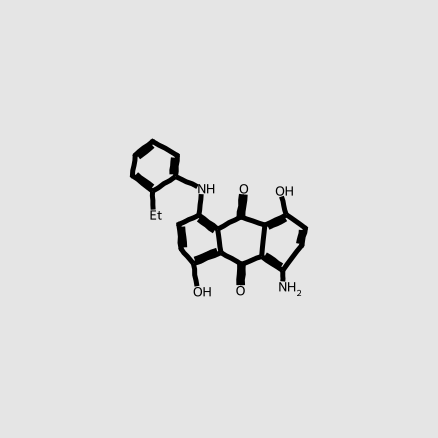 CCc1ccccc1Nc1ccc(O)c2c1C(=O)c1c(O)ccc(N)c1C2=O